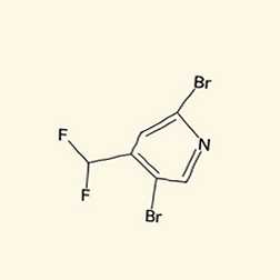 FC(F)c1cc(Br)ncc1Br